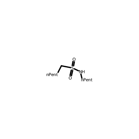 CCCCCCS(=O)(=O)NCCCCC